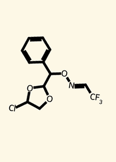 FC(F)(F)C=NOC(c1ccccc1)C1OCC(Cl)O1